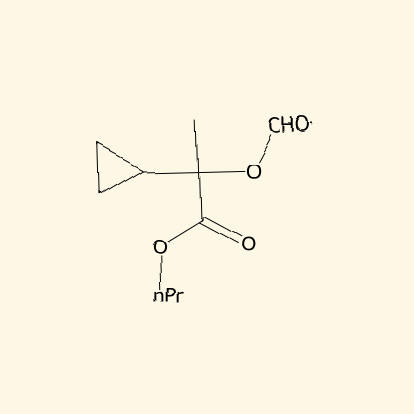 CCCOC(=O)C(C)(O[C]=O)C1CC1